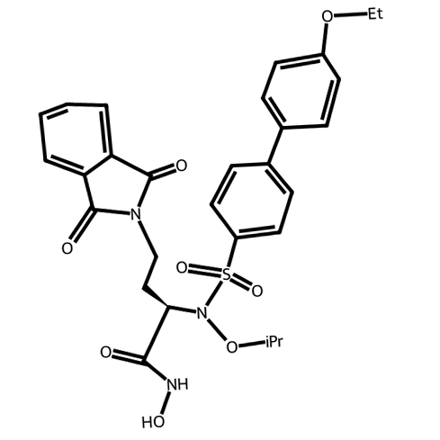 CCOc1ccc(-c2ccc(S(=O)(=O)N(OC(C)C)[C@H](CCN3C(=O)c4ccccc4C3=O)C(=O)NO)cc2)cc1